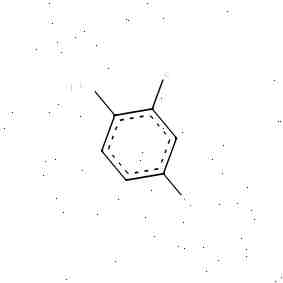 [CH2]C(C)c1cc([N+](=O)[O-])ccc1CCC